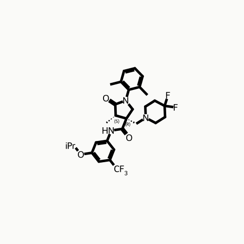 Cc1cccc(C)c1N1C[C@@](CN2CCC(F)(F)CC2)(C(=O)Nc2cc(OC(C)C)cc(C(F)(F)F)c2)[C@H](C)C1=O